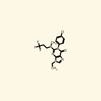 CCn1cnc2c(=O)n(-c3ccc(Cl)cc3)c(N(C)CCC(F)(F)F)nc21